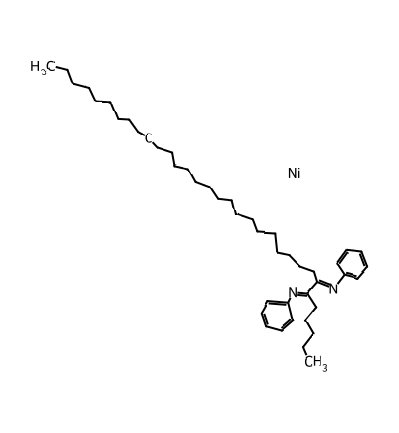 CCCCCCCCCCCCCCCCCCCCCCCCCCC(=N\c1ccccc1)/C(CCCCC)=N/c1ccccc1.[Ni]